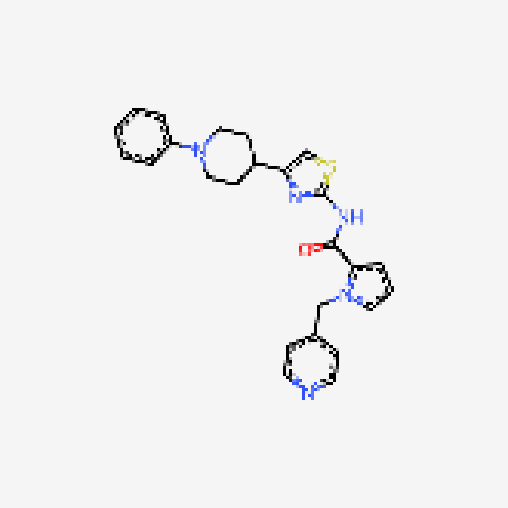 O=C(Nc1nc(C2CCN(c3ccccc3)CC2)cs1)c1cccn1Cc1ccncc1